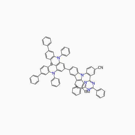 CC(C)(C)c1ccc2c3cc(-c4cc5c6c(c4)N(c4ccccc4)c4cc(-c7ccccc7)ccc4B6c4ccc(-c6ccccc6)cc4N5c4ccccc4)ccc3n(-c3ccc(C#N)cc3-c3nc(-c4ccccc4)nc(-c4ccccc4)n3)c2c1